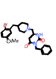 COc1ccc(Br)c(CC2CCN(Cc3cc(=O)n(Cc4ccccc4)c(=O)[nH]3)CC2)c1